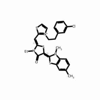 CCn1c(=O)/c(=C2\Sc3cc(C)ccc3N2C)s/c1=C\c1scc[n+]1CCc1cccc(Cl)c1